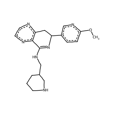 COc1ccc(C2Cc3nccnc3C(NCC3CCCNC3)=N2)cn1